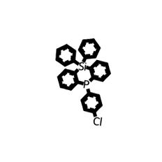 Clc1ccc(P2c3ccccc3[Si](c3ccccc3)(c3ccccc3)c3ccccc32)cc1